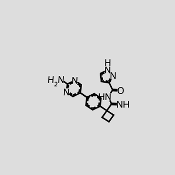 N=C(NC(=O)c1cc[nH]n1)C1(c2ccc(-c3cnc(N)nc3)cc2)CCC1